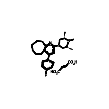 C[C@@H]1CN(c2cc(-c3ccc(F)cc3)c3c(n2)CCCCCC3)C[C@H](C)N1C.O=C(O)/C=C/C(=O)O